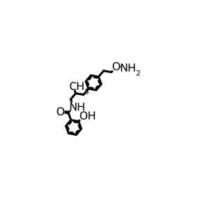 CC(CNC(=O)c1ccccc1O)Cc1ccc(CCON)cc1